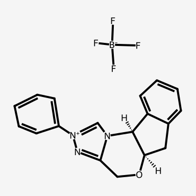 F[B-](F)(F)F.c1ccc(-[n+]2cn3c(n2)CO[C@@H]2Cc4ccccc4[C@@H]23)cc1